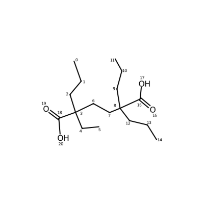 CCCC(CC)(CCC(CCC)(CCC)C(=O)O)C(=O)O